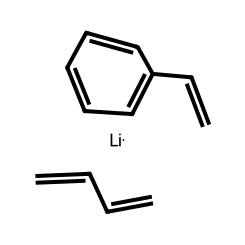 C=CC=C.C=Cc1ccccc1.[Li]